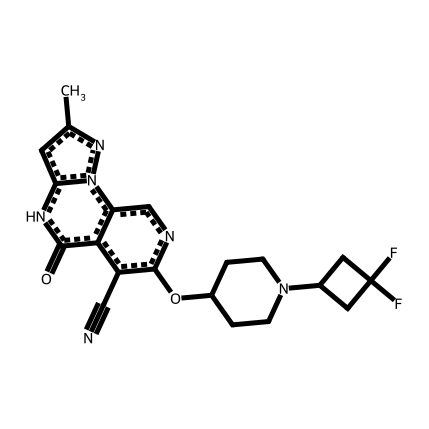 Cc1cc2[nH]c(=O)c3c(C#N)c(OC4CCN(C5CC(F)(F)C5)CC4)ncc3n2n1